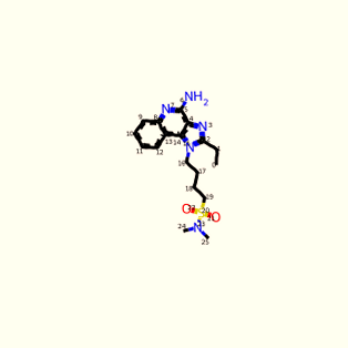 CCc1nc2c(N)nc3ccccc3c2n1CCCCS(=O)(=O)N(C)C